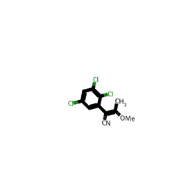 COC(C)=C(C#N)c1cc(Cl)cc(Cl)c1Cl